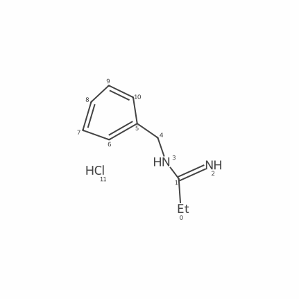 CCC(=N)NCc1ccccc1.Cl